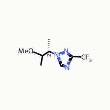 COC(C)[C@H](C)n1cnc(C(F)(F)F)n1